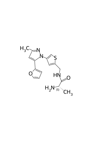 Cc1cc(-c2ccco2)n(-c2csc(CNC(=O)[C@H](C)N)c2)n1